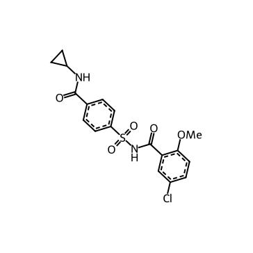 COc1ccc(Cl)cc1C(=O)NS(=O)(=O)c1ccc(C(=O)NC2CC2)cc1